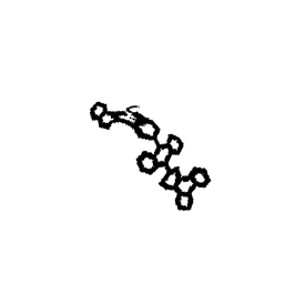 c1ccc2c(c1)ccc1c3cc(-c4c5ccccc5c(-c5ccc6c7ccccc7c7ccccc7c6c5)c5ccccc45)ccc3sc21